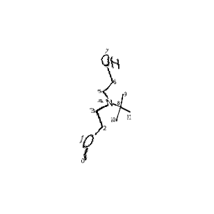 COCCN(CCO)C(C)(C)C